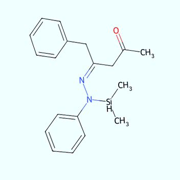 CC(=O)CC(Cc1ccccc1)=NN(c1ccccc1)[SiH](C)C